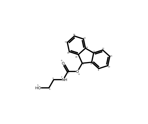 O=C(NCCO)OC1c2ccccc2-c2ccccc21